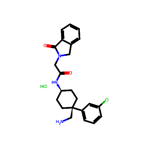 Cl.NC[C@]1(c2cccc(Cl)c2)CC[C@H](NC(=O)CN2Cc3ccccc3C2=O)CC1